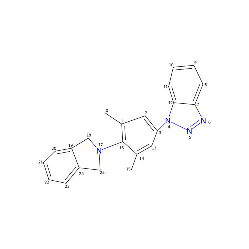 Cc1cc(-n2nnc3ccccc32)cc(C)c1N1Cc2ccccc2C1